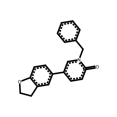 O=c1ccc(-c2ccc3c(c2)CCO3)cn1Cc1ccccc1